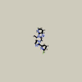 CCn1c(Cn2ccnc2-c2cccc(F)n2)nc2cccnc21